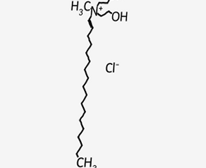 CCCCCCCCCCCCCCCCC=C[N+](C)(CCO)CCO.[Cl-]